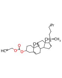 C#CCOC(=O)OC1CC[C@@]2(C)C(=CCC3C2CC[C@@]2(C)C3CC[C@@H]2[C@H](C)CCCC(C)C)C1